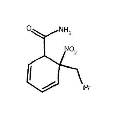 CC(C)CC1([N+](=O)[O-])C=CC=CC1C(N)=O